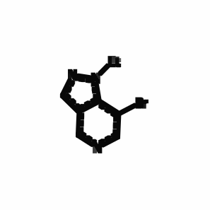 CCn1ncc2cncc(Br)c21